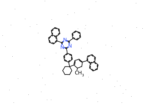 CC1CC(c2cccc3ccccc23)=CC=C1C1(c2ccc(-c3nc(-c4ccccc4)nc(-c4cccc5ccccc45)n3)cc2)CCCCC1